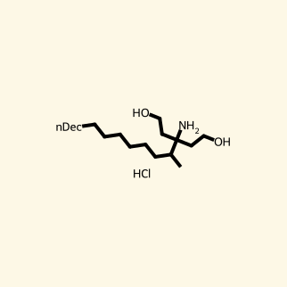 CCCCCCCCCCCCCCCCC(C)C(N)(CCO)CCO.Cl